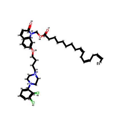 CC/C=C\C/C=C\C/C=C\CCCCCCCC(=O)OCn1c(=O)ccc2ccc(OCCCCN3CCN(c4cccc(Cl)c4Cl)CC3)cc21